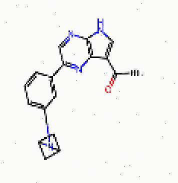 CC(C)(C)C(=O)c1c[nH]c2ncc(-c3cccc(N4CC5CC4C5)c3)nc12